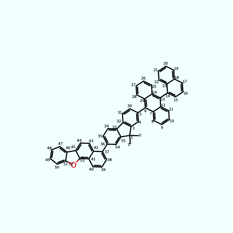 CC1(C)c2cc(-c3c4ccccc4c(-c4cccc5ccccc45)c4ccccc34)ccc2-c2ccc(-c3cccc4c3ccc3c5ccccc5oc43)cc21